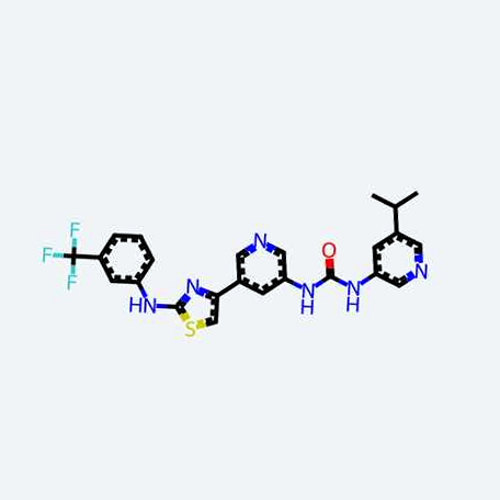 CC(C)c1cncc(NC(=O)Nc2cncc(-c3csc(Nc4cccc(C(F)(F)F)c4)n3)c2)c1